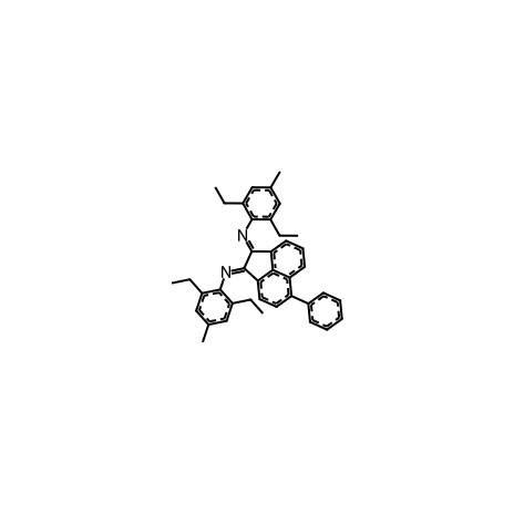 CCc1cc(C)cc(CC)c1N=C1C(=Nc2c(CC)cc(C)cc2CC)c2ccc(-c3ccccc3)c3cccc1c23